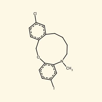 CN1CCCCc2cc(Cl)ccc2COc2ccc(I)cc21